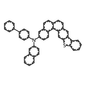 c1ccc(-c2ccc(N(c3ccc4ccccc4c3)c3ccc4c(ccc5ccc6cc7c(cc6c54)sc4ccccc47)c3)cc2)cc1